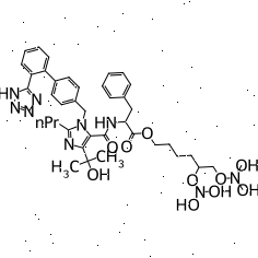 CCCc1nc(C(C)(C)O)c(C(=O)NC(Cc2ccccc2)C(=O)OCCCCC(CON(O)O)ON(O)O)n1Cc1ccc(-c2ccccc2-c2nnn[nH]2)cc1